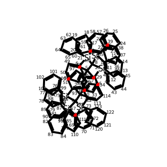 CC(C)(OOC(C)(C)C([Si](c1ccccc1)(c1ccccc1)c1ccccc1)([Si](c1ccccc1)(c1ccccc1)c1ccccc1)[Si](c1ccccc1)(c1ccccc1)c1ccccc1)C([Si](c1ccccc1)(c1ccccc1)c1ccccc1)([Si](c1ccccc1)(c1ccccc1)c1ccccc1)[Si](c1ccccc1)(c1ccccc1)c1ccccc1